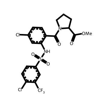 COC(=O)C1CCCN1C(=O)c1ccc(Cl)cc1NS(=O)(=O)c1ccc(Cl)c(C(F)(F)F)c1